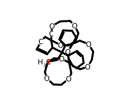 CCC(C1C=CCCC12COCCOCCCO2)(C1C=CCCC12COCCOCCCO2)C1C=CCCC12COCCOCCCO2